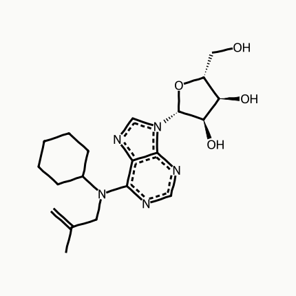 C=C(C)CN(c1ncnc2c1ncn2[C@@H]1O[C@H](CO)[C@@H](O)[C@H]1O)C1CCCCC1